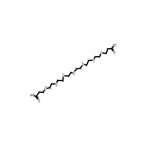 CCC(=O)CCOCCOCCOCCOCCOCCOCCOCCC(=O)C(C)C